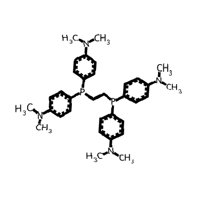 CN(C)c1ccc(P(CCP(c2ccc(N(C)C)cc2)c2ccc(N(C)C)cc2)c2ccc(N(C)C)cc2)cc1